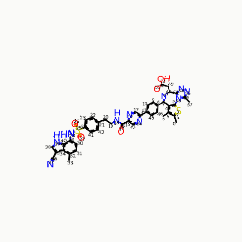 Cc1sc2c(c1C)C(c1ccc(-c3cnc(C(=O)NCCc4ccc(S(=O)(=O)Nc5ccc(C)c6c(C#N)c[nH]c56)cc4)cn3)cc1)=N[C@@H](CC(=O)O)c1nnc(C)n1-2